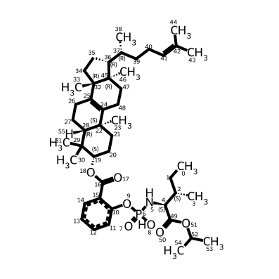 CC[C@H](C)[C@H](NP(=O)(O)Oc1ccccc1C(=O)O[C@H]1CC[C@]2(C)C3=C(CC[C@H]2C1(C)C)[C@]1(C)CC[C@H]([C@H](C)CCC=C(C)C)[C@@]1(C)CC3)C(=O)OC(C)C